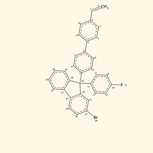 C=Cc1ccc(-c2ccc(C3(c4ccc(F)cc4)c4ccccc4-c4ccc(Br)cc43)cc2)cc1